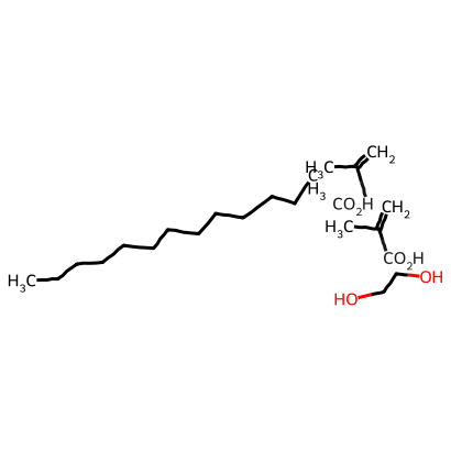 C=C(C)C(=O)O.C=C(C)C(=O)O.CCCCCCCCCCCCC.OCCO